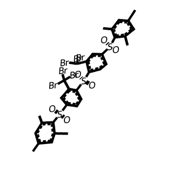 Cc1cc(C)c(S(=O)(=O)c2ccc(S(=O)(=O)c3ccc(S(=O)(=O)c4c(C)cc(C)cc4C)cc3C(Br)(Br)Br)c(C(Br)(Br)Br)c2)c(C)c1